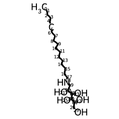 CCCCCCCCCCCCCCCCCCNC[C@H](O)[C@@H](O)[C@H](O)[C@H](O)CO